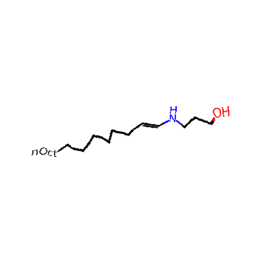 CCCCCCCCCCCCCCC=CNCCCO